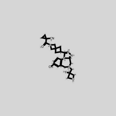 N#CC1(C(=O)N2CC3(CC(c4nnc5n4-c4ccc(Cl)cc4CN(CC4(F)COC4)C5)C3)C2)CC1